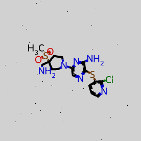 CS(=O)(=O)C1(CN)CCN(c2cnc(Sc3cccnc3Cl)c(N)n2)CC1